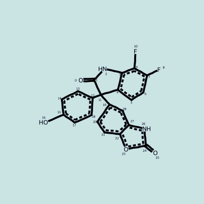 O=C1Nc2c(ccc(F)c2F)C1(c1ccc(O)cc1)c1ccc2oc(=O)[nH]c2c1